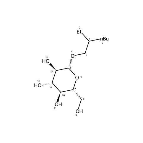 CCCCC(CC)CO[C@@H]1O[C@H](CO)[C@@H](O)[C@H](O)[C@H]1O